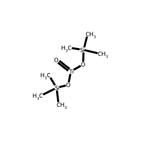 C[Si](C)(C)[O][Ti](=[O])[O][Si](C)(C)C